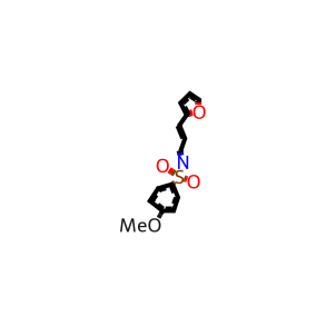 COc1ccc(S(=O)(=O)N=CC=Cc2ccco2)cc1